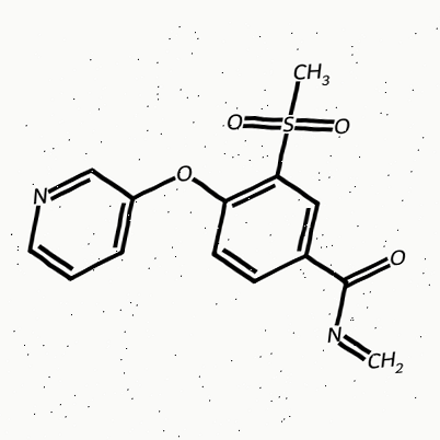 C=NC(=O)c1ccc(Oc2cccnc2)c(S(C)(=O)=O)c1